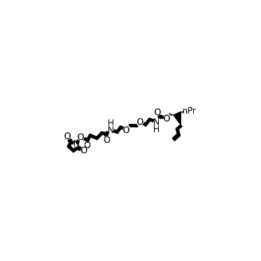 C=CCC[C@H]1[C@@H](CCC)[C@H]1COC(=O)NCCOCCOCCNC(=O)CCCC(=O)ON1C(=O)CCC1=O